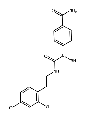 NC(=O)c1ccc(N(S)C(=O)NCCc2ccc(Cl)cc2Cl)cc1